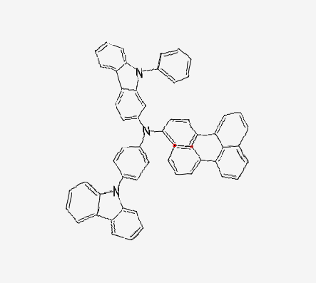 c1ccc(-c2cccc3cccc(-c4ccc(N(c5ccc(-n6c7ccccc7c7ccccc76)cc5)c5ccc6c7ccccc7n(-c7ccccc7)c6c5)cc4)c23)cc1